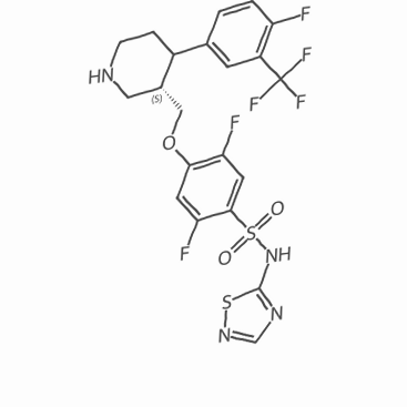 O=S(=O)(Nc1ncns1)c1cc(F)c(OC[C@@H]2CNCCC2c2ccc(F)c(C(F)(F)F)c2)cc1F